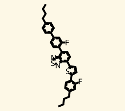 CCCCc1ccc(-c2ccc(-c3ccc(-c4ccc(-c5ccc(CCCC)cc5F)s4)c4nsnc34)c(F)c2)cc1